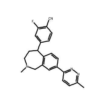 Cc1ccc(-c2ccc3c(c2)CN(C)CCC3c2ccc(C#N)c(F)c2)nn1